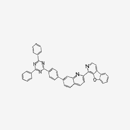 c1ccc(-c2nc(-c3ccccc3)nc(-c3ccc(-c4ccc5ccc(-c6nccc7c6oc6ccccc67)nc5c4)cc3)n2)cc1